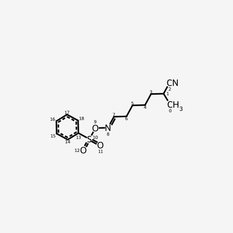 CC(C#N)CCCCC=NOS(=O)(=O)c1ccccc1